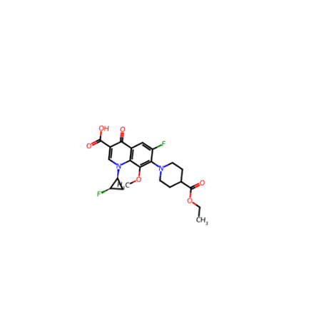 CCOC(=O)C1CCN(c2c(F)cc3c(=O)c(C(=O)O)cn([C@H]4C[C@H]4F)c3c2OC)CC1